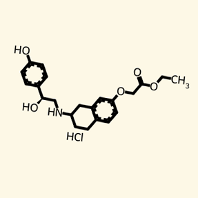 CCOC(=O)COc1ccc2c(c1)CC(NC[C@@H](O)c1ccc(O)cc1)CC2.Cl